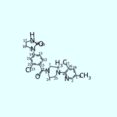 Cc1cnc(N2CCN(C(=O)c3ccc(N4CCNC4=O)cc3Cl)CC2)c(C)c1